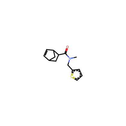 CN(Cc1cccs1)C(=O)C1CC2C=CC1C2